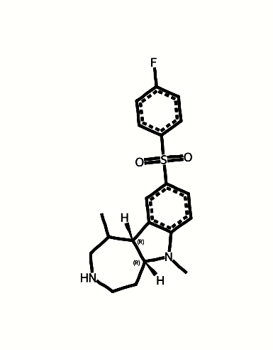 CC1CNCC[C@@H]2[C@H]1c1cc(S(=O)(=O)c3ccc(F)cc3)ccc1N2C